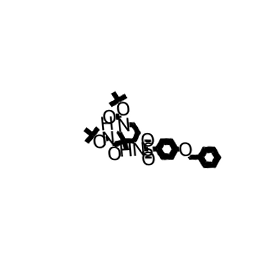 CC(C)(C)ONC(=O)C1(C)CN(C(=O)OC(C)(C)C)CCC1NS(=O)(=O)c1ccc(OCc2ccccc2)cc1